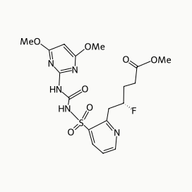 COC(=O)CC[C@H](F)Cc1ncccc1S(=O)(=O)NC(=O)Nc1nc(OC)cc(OC)n1